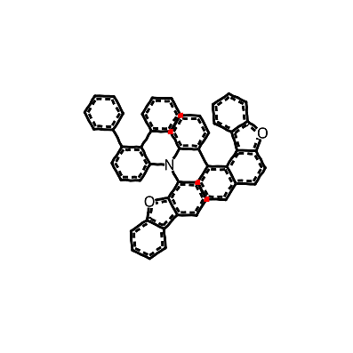 c1ccc(-c2cccc(N(c3ccccc3-c3cccc4ccc5oc6ccccc6c5c34)c3cccc4c3oc3ccccc34)c2-c2ccccc2)cc1